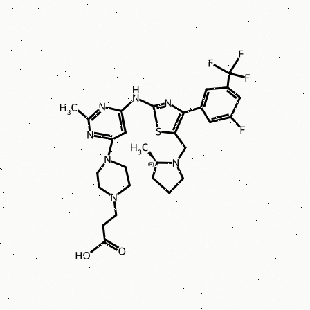 Cc1nc(Nc2nc(-c3cc(F)cc(C(F)(F)F)c3)c(CN3CCC[C@H]3C)s2)cc(N2CCN(CCC(=O)O)CC2)n1